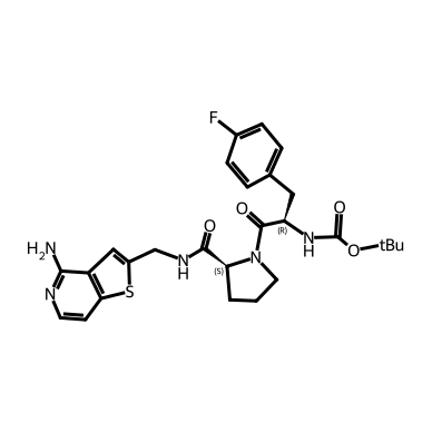 CC(C)(C)OC(=O)N[C@H](Cc1ccc(F)cc1)C(=O)N1CCC[C@H]1C(=O)NCc1cc2c(N)nccc2s1